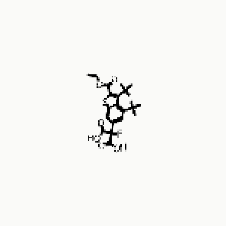 CCOC(=O)c1sc2cc(C(F)(C(=O)O)C(=O)O)cc(C(C)(C)C)c2c1C(C)(C)C